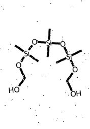 C[Si](C)(OCO)O[Si](C)(C)O[Si](C)(C)OCO